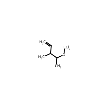 C=CC(C)C(C)OC(Cl)(Cl)Cl